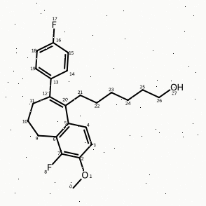 COc1ccc2c(c1F)CCCC(c1ccc(F)cc1)=C2CCCCCCO